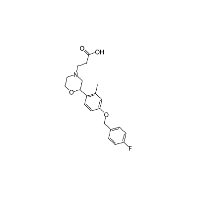 Cc1cc(OCc2ccc(F)cc2)ccc1C1CN(CCC(=O)O)CCO1